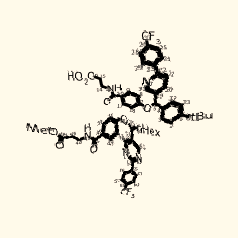 CC(C)(C)c1ccc(C(Oc2ccc(C(=O)NCCC(=O)O)cc2)c2ccc(-c3ccc(C(F)(F)F)cc3)nc2)cc1.CCCCCCC(Oc1ccc(C(=O)NCCC(=O)OC)cc1)c1cnc(-c2ccc(C(F)(F)F)cc2)nc1